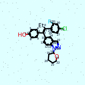 CCC(=C(c1ccc(O)cc1)c1ccc2c(cnn2C2CCCCO2)c1)c1ccc(Cl)cc1F